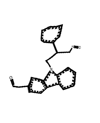 O=Cc1ccc2c3ccccc3n(CC(CN=O)c3ccccc3)c2c1